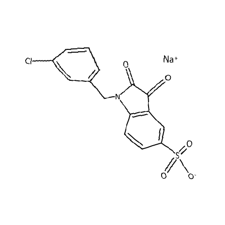 O=C1C(=O)N(Cc2cccc(Cl)c2)c2ccc(S(=O)(=O)[O-])cc21.[Na+]